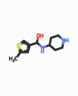 Cc1cc(C(O)NC2CCNCC2)cs1